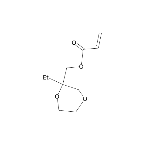 C=CC(=O)OCC1(CC)COCCO1